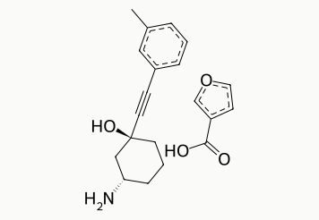 Cc1cccc(C#C[C@]2(O)CCC[C@H](N)C2)c1.O=C(O)c1ccoc1